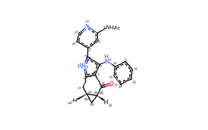 CC(=O)Nc1cc(-c2[nH]c3c(c2Nc2ccccc2)C(=O)[C@@H]2C[C@@H]2C3)ccn1